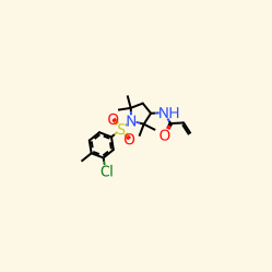 C=CC(=O)NC1CC(C)(C)N(S(=O)(=O)c2ccc(C)c(Cl)c2)C1(C)C